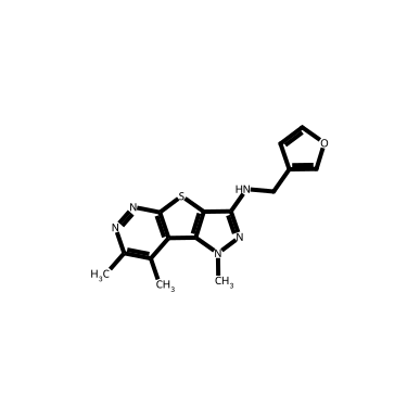 Cc1nnc2sc3c(NCc4ccoc4)nn(C)c3c2c1C